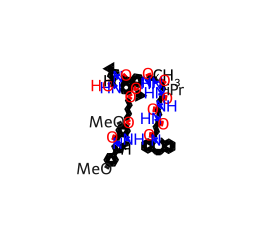 COc1ccc(C2=CN3C(=O)c4cc(OC)c(OCCCCCOC5CC6NC(O)[C@@H]7CC8(CC8)CN7C(=O)C6(Cc6ccc(NC(=O)[C@H](C)NC(=O)[C@@H](NC(=O)CNC(=O)CNC(=O)CCC(=O)N7Cc8ccccc8C#Cc8ccccc87)C(C)C)cc6)CC5OC5CC5)cc4NC[C@@H]3C2)cc1